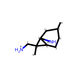 CC1CCC2C(C)(CN)C2(N)C1